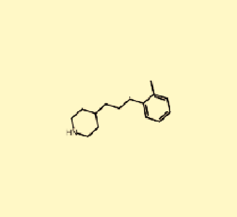 Cc1ccccc1[CH]CCC1CCNCC1